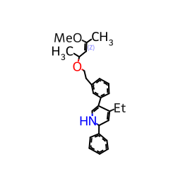 CCC1=CC(c2ccccc2)NC=C1c1cccc(CCOC(C)/C=C(/C)OC)c1